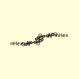 CCCCCC[C@@H](C)Oc1ccc(/N=N/c2ccc(-c3ccc(C(=O)Oc4ccc5ccccc5c4-c4c(OC(=O)c5ccc(-c6ccc(/N=N/c7ccc(O[C@@H](C)CCCCCC)cc7)cc6)cc5)ccc5ccccc45)cc3)cc2)cc1